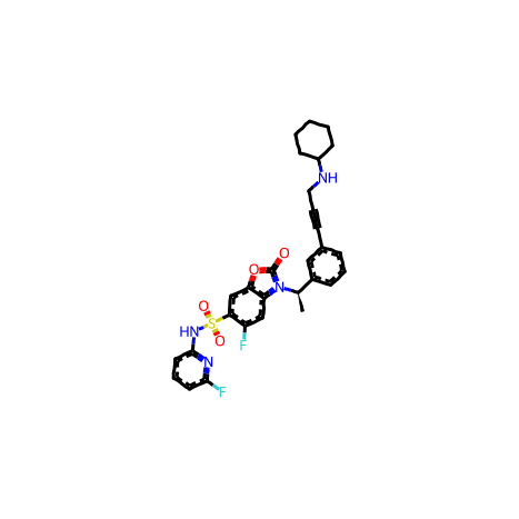 C[C@H](c1cccc(C#CCNC2CCCCC2)c1)n1c(=O)oc2cc(S(=O)(=O)Nc3cccc(F)n3)c(F)cc21